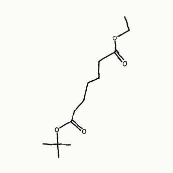 CCOC(=O)CCCCCC(=O)OC(C)(C)C